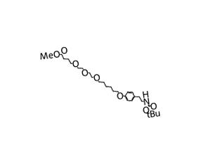 COC(=O)CCCOCCOCCOCCCCCCOc1ccc(CCNC(=O)OC(C)(C)C)cc1